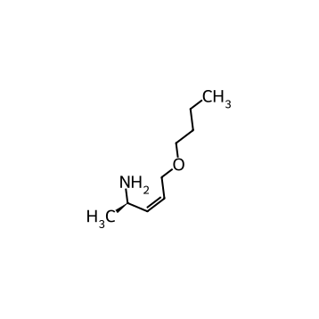 CCCCOC/C=C\[C@@H](C)N